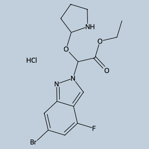 CCOC(=O)C(OC1CCCN1)n1cc2c(F)cc(Br)cc2n1.Cl